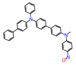 CN(c1ccc(N=O)cc1)c1ccc(-c2ccc(N(c3ccccc3)c3ccc(-c4ccccc4)cc3)cc2)cc1